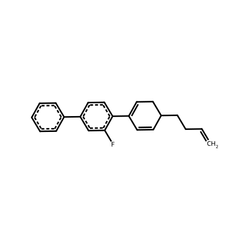 C=CCCC1C=CC(c2ccc(-c3ccccc3)cc2F)=CC1